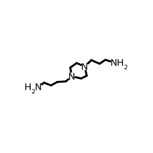 NCCCCN1CCN(CCCN)CC1